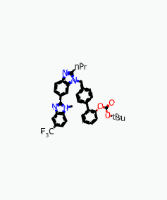 CCCc1nc2ccc(-c3nc4cc(C(F)(F)F)ccc4n3C)cc2n1Cc1ccc(-c2ccccc2OC(=O)OC(C)(C)C)cc1